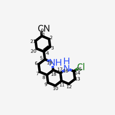 N#CC1CC=C(C2CCC3CCC4CCC(Cl)NC4C3N2)CC1